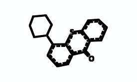 O=c1c2ccccc2sc2c(C3CCCCC3)cccc12